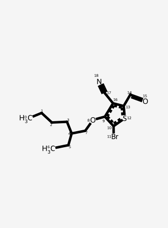 CCCCC(CC)COc1c(Br)sc(C=O)c1C#N